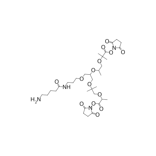 CC(COC(C)(C)C(=O)ON1C(=O)CCC1=O)OC(COCCCNC(=O)CCCCN)COC(C)(C)COC(C)C(=O)ON1C(=O)CCC1=O